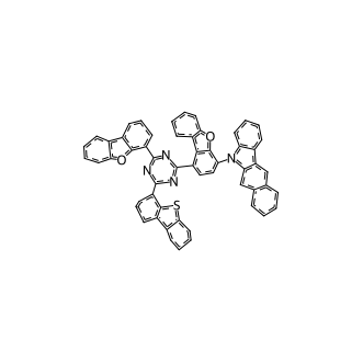 c1ccc2cc3c(cc2c1)c1ccccc1n3-c1ccc(-c2nc(-c3cccc4c3oc3ccccc34)nc(-c3cccc4c3sc3ccccc34)n2)c2c1oc1ccccc12